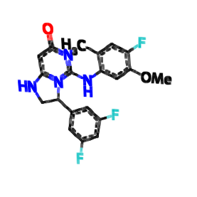 COc1cc(Nc2nc(=O)cc3n2C(c2cc(F)cc(F)c2)CN3)c(C)cc1F